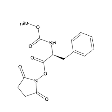 CCCCOC(=O)N[C@@H](Cc1ccccc1)C(=O)ON1C(=O)CCC1=O